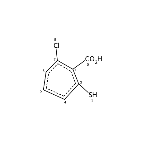 O=C(O)c1c(S)cccc1Cl